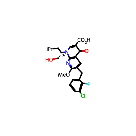 COc1nc2c(cc1Cc1cccc(Cl)c1F)c(=O)c(C(=O)O)cn2[C@H](CO)CC(C)C